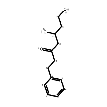 O=C(CCc1ccccc1)CC(O)CCO